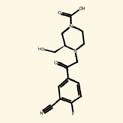 N#Cc1cc(C(=O)CN2CCN(C(=O)O)C[C@@H]2CO)ccc1F